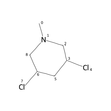 CN1[CH]C(Cl)CC(Cl)C1